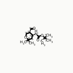 CC(C)(C)OC(=O)N[C@H]1CC(C)(C)OC[C@H]1C=O